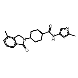 Cc1ncc(NC(=O)C2CCC(N3Cc4c(C)cccc4C3=O)CC2)s1